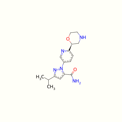 CC(C)c1cc(C(N)=O)n(-c2ccc([C@@H]3CNCCO3)nc2)n1